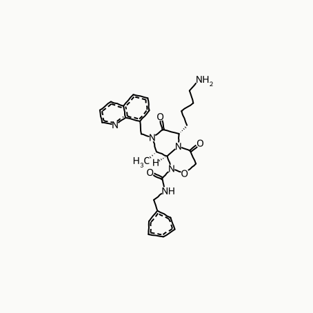 C[C@H]1[C@@H]2N(C(=O)NCc3ccccc3)OCC(=O)N2[C@@H](CCCCN)C(=O)N1Cc1cccc2cccnc12